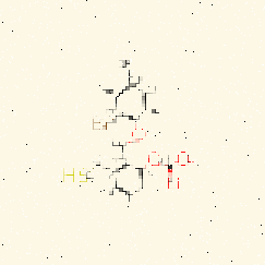 COC(=O)Oc1cccc(CS)c1COc1ccc(C)cc1Br